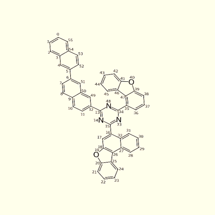 c1ccc2cc(-c3ccc4ccc(-c5nc(-c6cc7oc8ccccc8c7c7ccccc67)nc(-c6cccc7oc8ccccc8c67)n5)cc4c3)ccc2c1